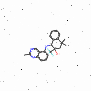 Cc1ncc2c(N[C@H]3c4ccccc4C(C)(C)C[C@]3(O)C(F)(F)F)cccc2n1